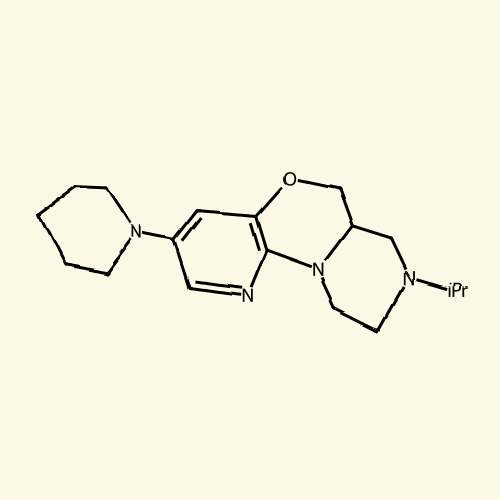 CC(C)N1CCN2c3ncc(N4CCCCC4)cc3OCC2C1